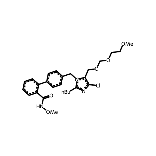 CCCCc1nc(Cl)c(COCOCCOC)n1Cc1ccc(-c2ccccc2C(=O)NOC)cc1